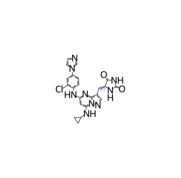 O=C1NC(=O)/C(=C/c2cnn3c(NC4CC4)cc(Nc4ccc(-n5ccnc5)cc4Cl)nc23)N1